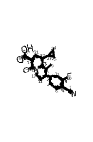 Cc1c(-c2ccc(C#N)c(F)c2)ccn2c(=O)c(C(=O)O)cc(C3CC3)c12